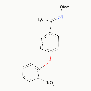 CO/N=C(\C)c1ccc(Oc2ccccc2[N+](=O)[O-])cc1